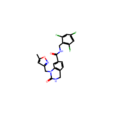 Cc1cc(CN2C(=O)NCc3ccc(C(=O)NCc4c(F)cc(F)cc4F)cc32)no1